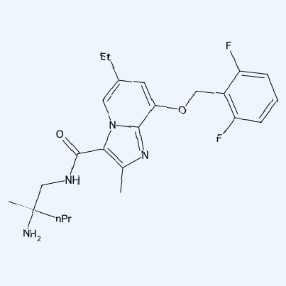 CCCC(C)(N)CNC(=O)c1c(C)nc2c(OCc3c(F)cccc3F)cc(CC)cn12